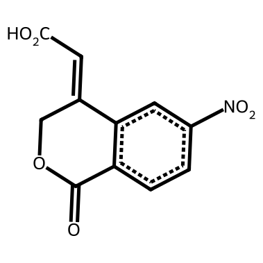 O=C(O)C=C1COC(=O)c2ccc([N+](=O)[O-])cc21